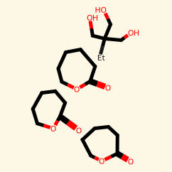 CCC(CO)(CO)CO.O=C1CCCCCO1.O=C1CCCCCO1.O=C1CCCCCO1